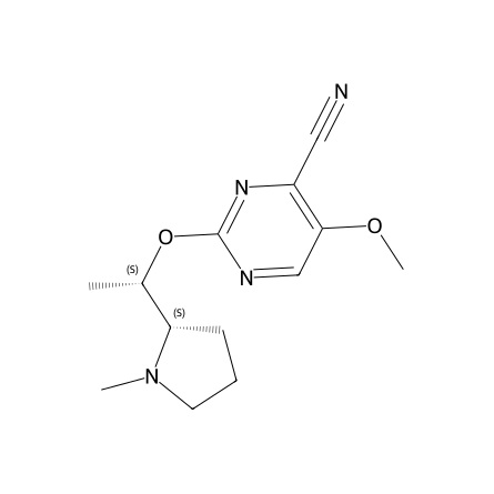 COc1cnc(O[C@@H](C)[C@@H]2CCCN2C)nc1C#N